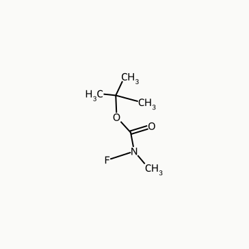 CN(F)C(=O)OC(C)(C)C